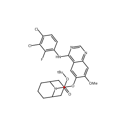 COc1cc2ncnc(Nc3ccc(Cl)c(Cl)c3F)c2cc1OC1CC2CCCC(C1)N2C(=O)OC(C)(C)C